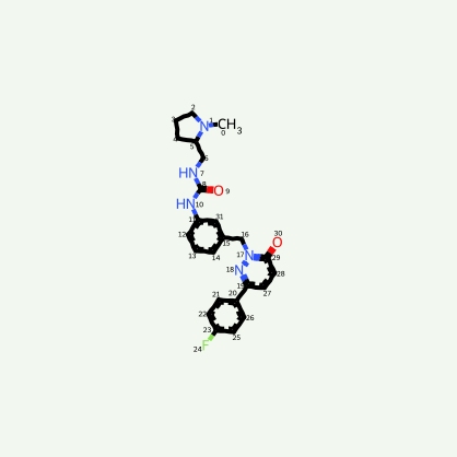 CN1CCCC1CNC(=O)Nc1cccc(Cn2nc(-c3ccc(F)cc3)ccc2=O)c1